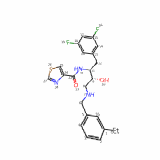 CCc1cccc(CNC[C@@H](O)[C@H](Cc2cc(F)cc(F)c2)NC(=O)c2cscn2)c1